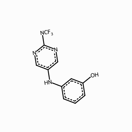 Oc1cccc(Nc2cnc(NC(F)(F)F)nc2)c1